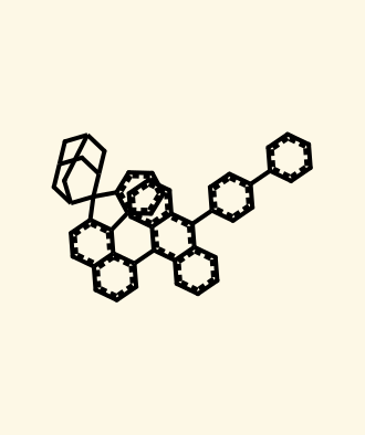 c1ccc(-c2ccc(-c3c4ccccc4c(-c4cccc5ccc6c(c45)-c4ccccc4C64C5CC6CC(C5)CC4C6)c4ccccc34)cc2)cc1